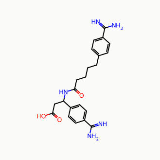 N=C(N)c1ccc(CCCCC(=O)NC(CC(=O)O)c2ccc(C(=N)N)cc2)cc1